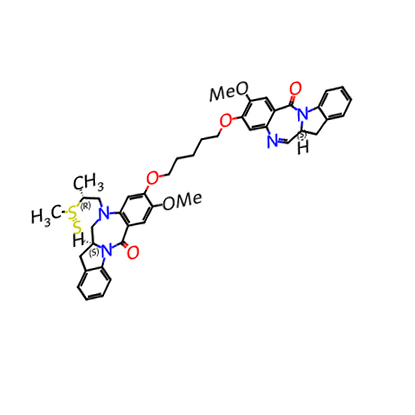 COc1cc2c(cc1OCCCCCOc1cc3c(cc1OC)C(=O)N1c4ccccc4C[C@H]1CN3C[C@@H](C)S(C)=S)N=C[C@@H]1Cc3ccccc3N1C2=O